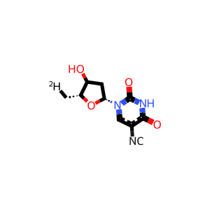 [2H]C[C@H]1O[C@@H](n2cc([N+]#[C-])c(=O)[nH]c2=O)CC1O